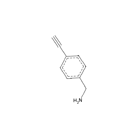 C#Cc1ccc(CN)cc1